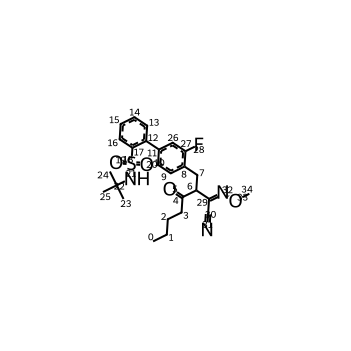 CCCCC(=O)C(Cc1ccc(-c2ccccc2S(=O)(=O)NC(C)(C)C)cc1F)C(C#N)=NOC